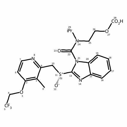 Cc1c(OCC(F)(F)F)ccnc1C[S@@+]([O-])c1nc2ccccc2n1C(=O)N(CCOC(=O)O)C(C)C